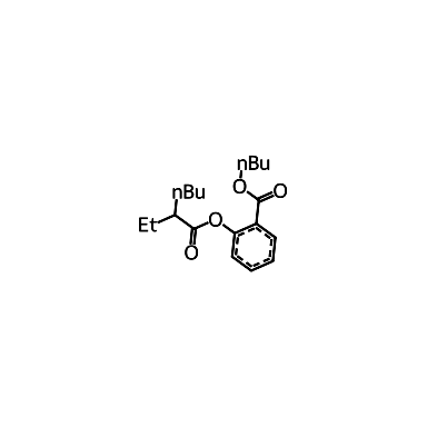 CCCCOC(=O)c1ccccc1OC(=O)C(CC)CCCC